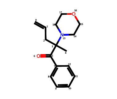 C=CCC(C)(C(=O)c1ccccc1)N1CCOCC1